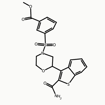 COC(=O)c1cccc(S(=O)(=O)N2CCOC(c3c(C(N)=O)sc4ccccc34)C2)c1